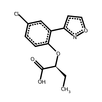 CC[C@H](Oc1ccc(Cl)cc1-c1ccon1)C(=O)O